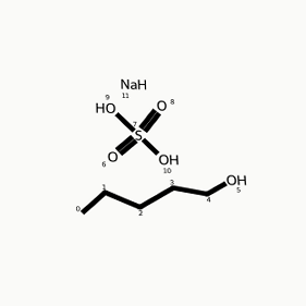 CCCCCO.O=S(=O)(O)O.[NaH]